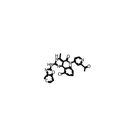 CC(=O)c1cc(NC(=O)C2=C(C)NC(Nc3nc4ccccc4o3)=NC2c2ccccc2Cl)ccn1